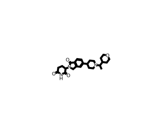 CC(C1CCOCC1)N1CCC(c2ccc3c(c2)CN(C2CCC(=O)NC2=O)C3=O)CC1